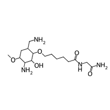 COC1CC(CN)C(OCCCCCC(=O)NCC(N)=O)C(O)C1N